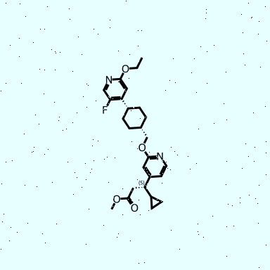 CCOc1cc([C@H]2CC[C@@H](COc3cc([C@@H](CC(=O)OC)C4CC4)ccn3)CC2)c(F)cn1